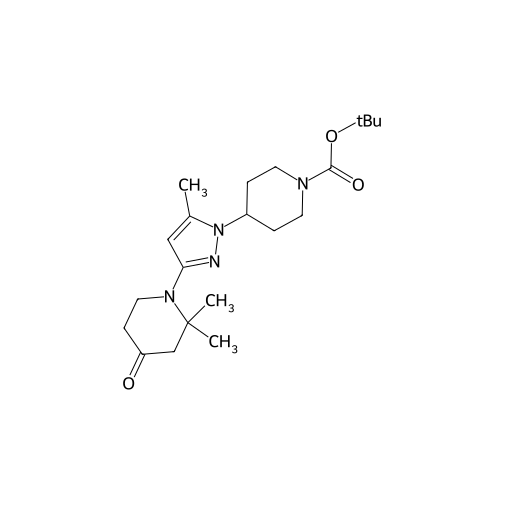 Cc1cc(N2CCC(=O)CC2(C)C)nn1C1CCN(C(=O)OC(C)(C)C)CC1